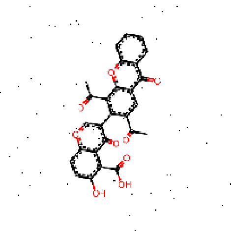 CC(=O)c1cc2c(=O)c3ccccc3oc2c(C(C)=O)c1-c1coc2ccc(O)c(C(=O)O)c2c1=O